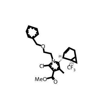 COC(=O)c1c(C)c([C@@H]2C=CCC3C[C@]32C(F)(F)F)n(CCOCc2ccccc2)c1Cl